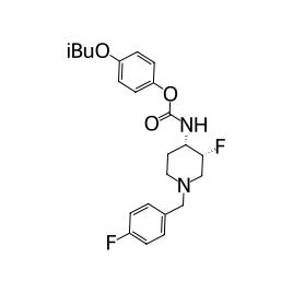 CC(C)COc1ccc(OC(=O)N[C@H]2CCN(Cc3ccc(F)cc3)C[C@H]2F)cc1